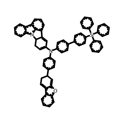 C1=C2c3cccc4c5ccccc5n(c34)C2CC=C1N(c1ccc(-c2ccc([Si](c3ccccc3)(c3ccccc3)c3ccccc3)cc2)cc1)c1ccc(C2C=c3oc4ccccc4c3=CC2)cc1